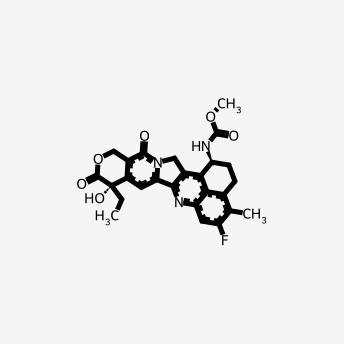 CC[C@@]1(O)C(=O)OCc2c1cc1n(c2=O)Cc2c-1nc1cc(F)c(C)c3c1c2[C@@H](NC(=O)OC)CC3